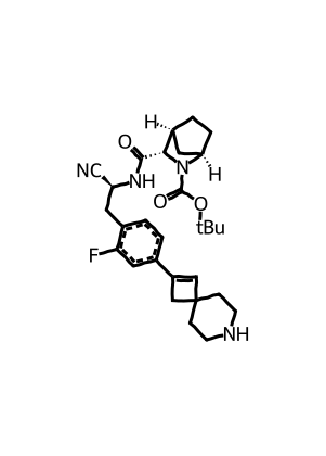 CC(C)(C)OC(=O)N1[C@@H]2CC[C@@H](C2)[C@H]1C(=O)N[C@H](C#N)Cc1ccc(C2=CC3(CCNCC3)C2)cc1F